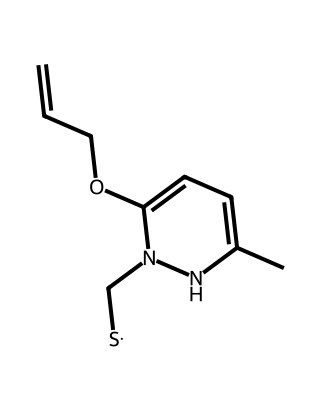 C=CCOC1=CC=C(C)NN1C[S]